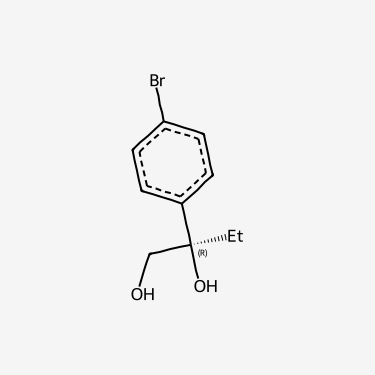 CC[C@](O)(CO)c1ccc(Br)cc1